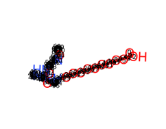 O=C(O)CCOCCOCCOCCOCCOCCOCCOCCOCCOCCCc1cccc(C(=O)Nc2ccc(N3CCCCC3)cc2C(=O)Nc2ccc(-c3ccc(OC4CCCCC4)nc3)cc2)c1